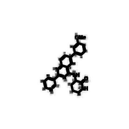 COc1cccc(-c2ccc3nc(-c4cccnc4)nc(NC4CCCNC4=O)c3c2)c1